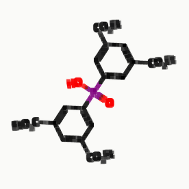 CCOC(=O)c1cc(C(=O)OCC)cc(P(=O)(O)c2cc(C(=O)OCC)cc(C(=O)OCC)c2)c1